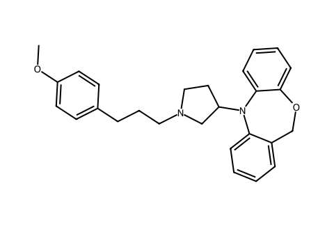 COc1ccc(CCCN2CCC(N3c4ccccc4COc4ccccc43)C2)cc1